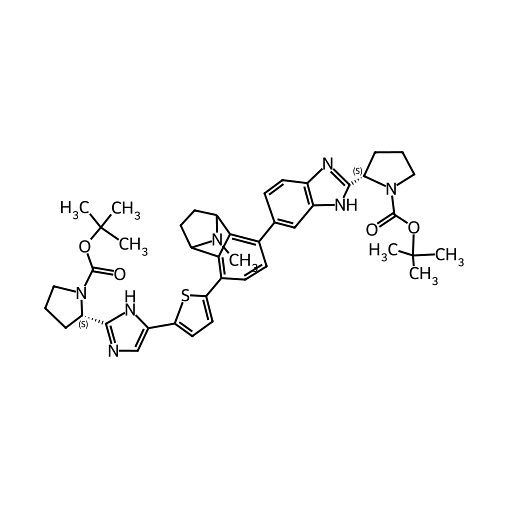 CN1C2CCC1c1c(-c3ccc(-c4cnc([C@@H]5CCCN5C(=O)OC(C)(C)C)[nH]4)s3)ccc(-c3ccc4nc([C@@H]5CCCN5C(=O)OC(C)(C)C)[nH]c4c3)c12